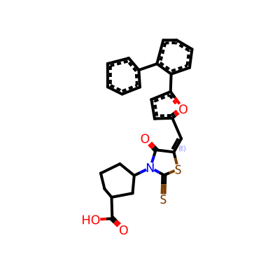 O=C(O)C1CCCC(N2C(=O)/C(=C\c3ccc(-c4ccccc4-c4ccccc4)o3)SC2=S)C1